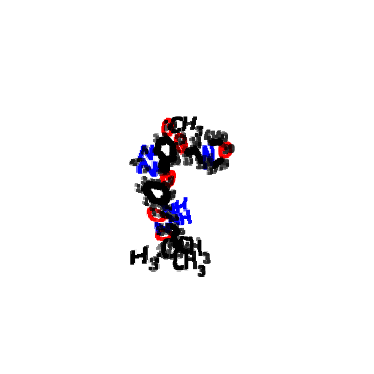 COc1cc2ncnc(Oc3cccc(NC(=O)Nc4cc(C(C)(C)C)on4)c3)c2cc1OCCCN1CCOCC1